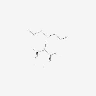 CCCNCCC.NC(C(=O)O)C(=O)O.[Pt]